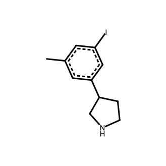 Cc1cc(I)cc(C2CCNC2)c1